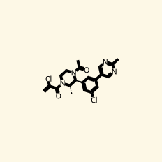 C=C(Cl)C(=O)N1CCN(C(C)=O)[C@@H](c2cc(Cl)cc(-c3cnc(C)nc3)c2)[C@@H]1C